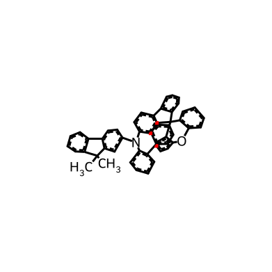 CC1(C)c2ccccc2-c2ccc(N(c3ccc4c(c3)C3(c5ccccc5Oc5ccccc53)c3ccccc3-4)c3ccccc3-c3ccccc3)cc21